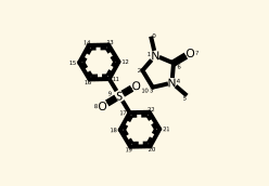 CN1CCN(C)C1=O.O=S(=O)(c1ccccc1)c1ccccc1